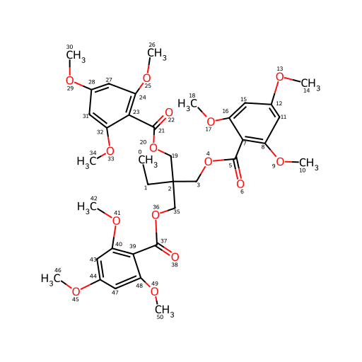 CCC(COC(=O)c1c(OC)cc(OC)cc1OC)(COC(=O)c1c(OC)cc(OC)cc1OC)COC(=O)c1c(OC)cc(OC)cc1OC